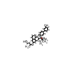 COC1(CN(C(=O)CC(C)(C)C)c2nccc3cc(OC(C)CCO)ccc23)C=CC(c2cccc(C)c2)C=C1